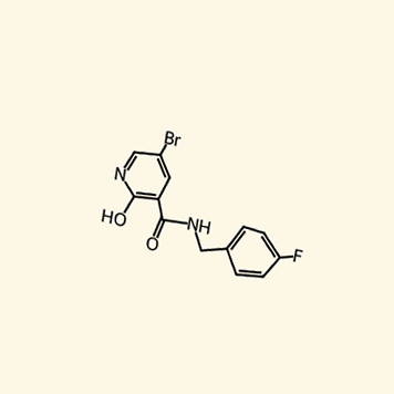 O=C(NCc1ccc(F)cc1)c1cc(Br)cnc1O